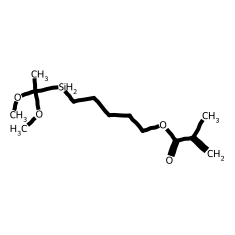 C=C(C)C(=O)OCCCCC[SiH2]C(C)(OC)OC